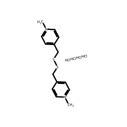 C[n+]1ccc(CSSCc2cc[n+](C)cc2)cc1.Cl.Cl.Cl.Cl